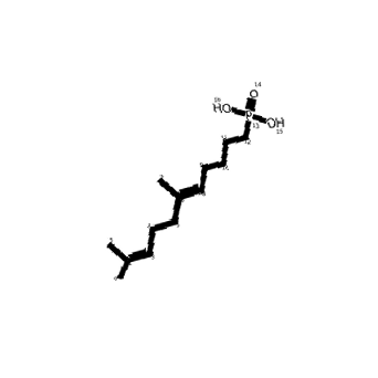 CC(C)=CCC/C(C)=C/CCCCP(=O)(O)O